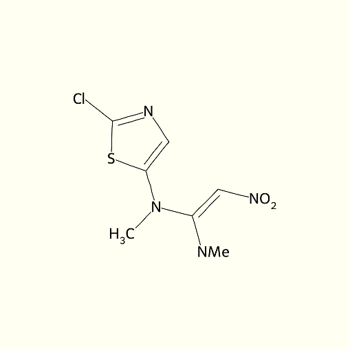 CNC(=C[N+](=O)[O-])N(C)c1cnc(Cl)s1